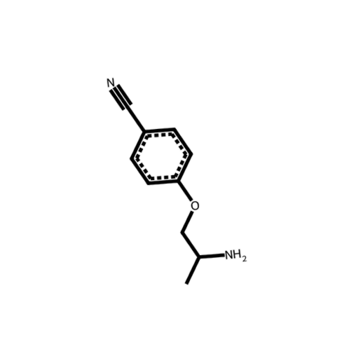 CC(N)COc1ccc(C#N)cc1